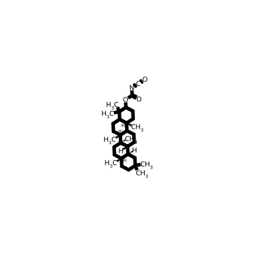 CC1(C)CC[C@]2(C)CC[C@]3(C)[C@H](CCC4[C@@]5(C)CCC(OC(=O)N=C=O)C(C)(C)C5CC[C@]43C)[C@H]2C1